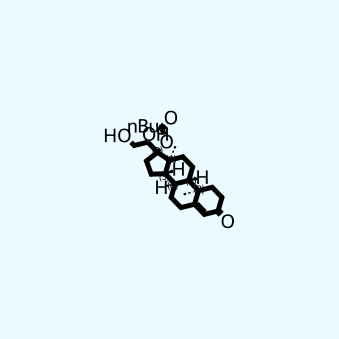 CCCCC(=O)O[C@]1(C(O)CO)CC[C@H]2[C@@H]3CCC4=CC(=O)CC[C@]4(C)[C@H]3CC[C@@]21C